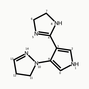 [c]1[nH]cc(C2=NCCN2)c1N1CCC=N1